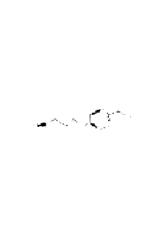 N#CCCCOc1ccc(CO)nn1